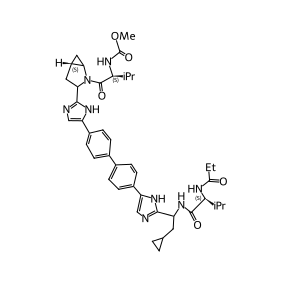 CCC(=O)N[C@H](C(=O)NC(CC1CC1)c1ncc(-c2ccc(-c3ccc(-c4cnc(C5C[C@@H]6CC6N5C(=O)[C@@H](NC(=O)OC)C(C)C)[nH]4)cc3)cc2)[nH]1)C(C)C